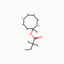 CCC(C)(C)C(=O)OC1(C)CCCCCCC1